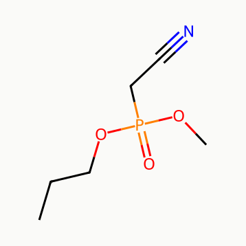 CCCOP(=O)(CC#N)OC